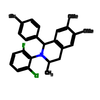 COc1cc2c(cc1OC)C(c1ccc(C(C)(C)C)cc1)N(c1c(F)cccc1Cl)C(C)C2